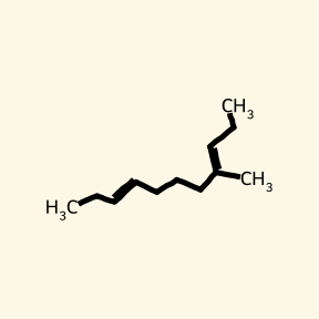 CCC=CCCCC(C)=CCC